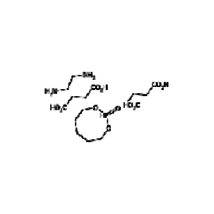 NCCN.O=C(O)CCC(=O)O.O=C(O)CCC(=O)O.O=[PH]1OCCCCCO1